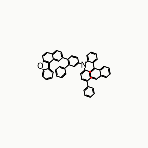 c1ccc(-c2ccc(N(c3ccc(-c4ccc5ccc6oc7ccccc7c6c5c4)c(-c4ccccc4)c3)c3ccccc3-c3cccc4ccccc34)cc2)cc1